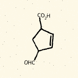 O=CC1C=CC(C(=O)O)C1